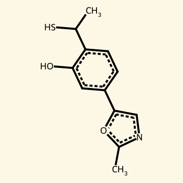 Cc1ncc(-c2ccc(C(C)S)c(O)c2)o1